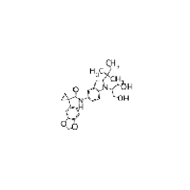 CCC(C)(C)C1Cc2cc(NC(=O)C3(c4ccc5c(c4)OCO5)CC3)ccc2N1C(CO)CO